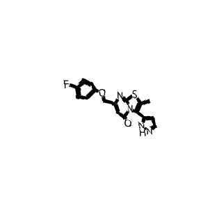 Cc1sc2nc(COc3ccc(F)cc3)cc(=O)n2c1-c1ccn[nH]1